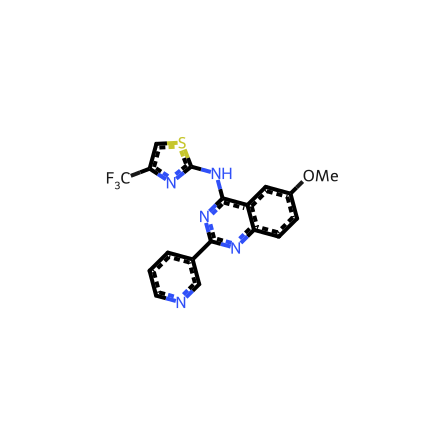 COc1ccc2nc(-c3cccnc3)nc(Nc3nc(C(F)(F)F)cs3)c2c1